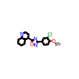 CC(C)Oc1ccc(-c2noc(-c3ccnc4ccccc34)n2)cc1Cl